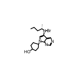 CCC[C@H](C)N(Br)c1cn(C2CCC(O)CC2)c2ncncc12